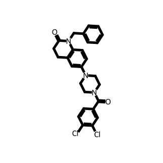 O=C(c1ccc(Cl)c(Cl)c1)N1CCN(c2ccc3c(c2)CCC(=O)N3Cc2ccccc2)CC1